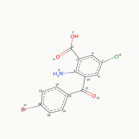 Nc1c(C(=O)O)cc(Cl)cc1C(=O)c1ccc(Br)cc1